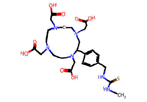 CNC(=S)NCc1ccc(C2CN(CC(=O)O)CCN(CC(=O)O)CCN(CC(=O)O)CCN2CC(=O)O)cc1